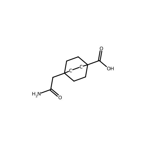 NC(=O)CC12CCC(C(=O)O)(CC1)CC2